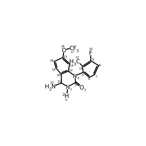 [2H]N1C(=O)N(c2cccc(F)c2C)c2cc(OC(F)(F)F)ccc2C1N